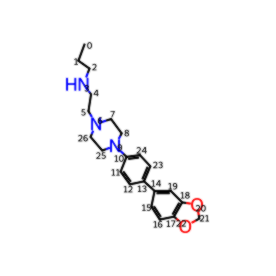 CCCNCCN1CCN(c2ccc(-c3ccc4c(c3)OCO4)cc2)CC1